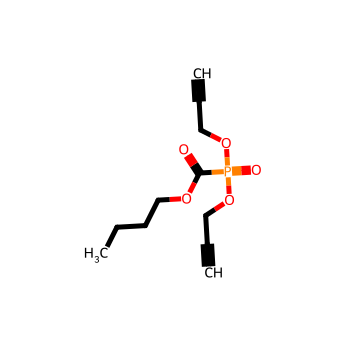 C#CCOP(=O)(OCC#C)C(=O)OCCCC